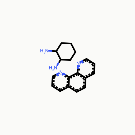 NC1CCCCC1N.c1cnc2c(c1)ccc1cccnc12